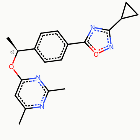 Cc1cc(O[C@@H](C)c2ccc(-c3nc(C4CC4)no3)cc2)nc(C)n1